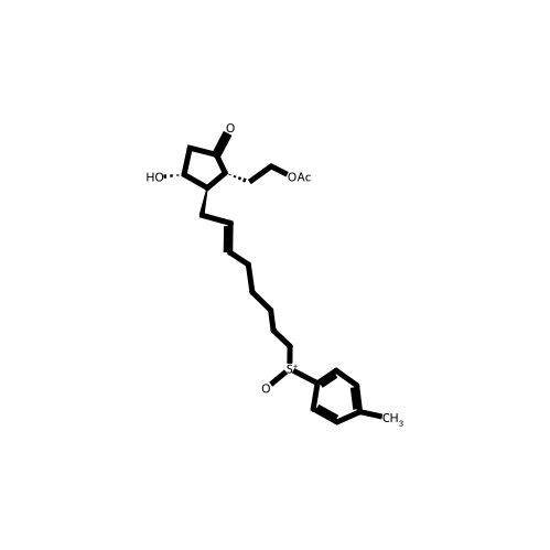 CC(=O)OCC[C@H]1C(=O)C[C@@H](O)[C@@H]1C/C=C/CCCCC[S+]([O-])c1ccc(C)cc1